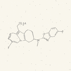 CN(c1nc2cc(F)ccc2o1)C1CCc2c(CC(=O)O)c3ccc(F)cn3c2C1